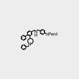 CCCCCc1ccc(CNCc2ccc(-c3ccccc3)c(C3CCCN(Cc4ccccc4)CC3)c2)cc1